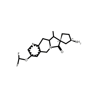 CC1C2Cc3ncc(OC(F)F)cc3CN2C(=O)[C@]12CC[C@@H](N)C2